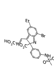 CCc1cc(Br)c2c(c1)=C(C=CC(=O)O)C(C(=O)O)(c1cccc(NS(C)(=O)=O)c1)N=2